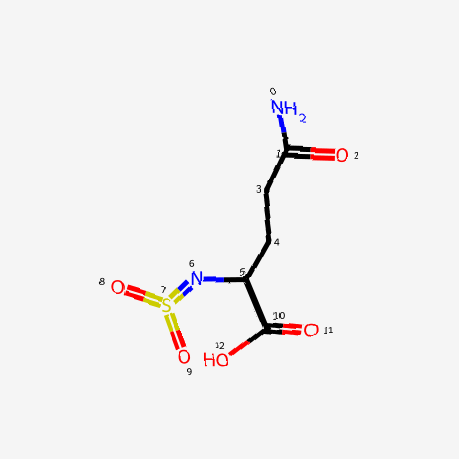 NC(=O)CCC(N=S(=O)=O)C(=O)O